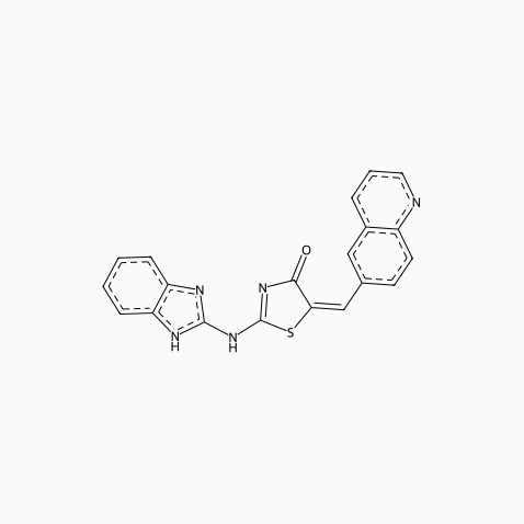 O=C1N=C(Nc2nc3ccccc3[nH]2)SC1=Cc1ccc2ncccc2c1